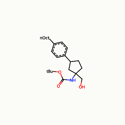 CCCCCCCCc1ccc(C2CCC(CO)(NC(=O)OC(C)(C)C)C2)cc1